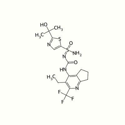 CCc1c(C(F)(F)F)nc2c(c1NC(=O)N=S(N)(=O)c1cnc(C(C)(C)O)s1)CCC2